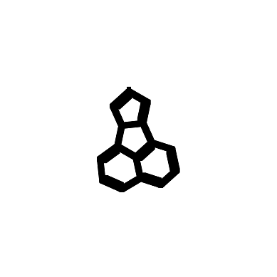 [C]1=CC2C(=C1)c1cccc3cccc2c13